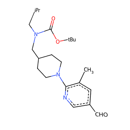 Cc1cc(C=O)cnc1N1CCC(CN(CC(C)C)C(=O)OC(C)(C)C)CC1